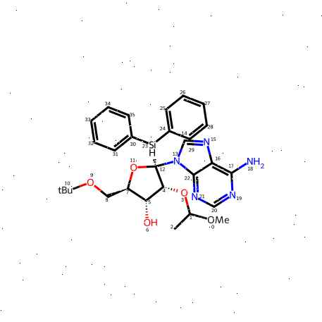 COC(C)O[C@@H]1[C@H](O)[C@@H](COC(C)(C)C)O[C@]1(n1cnc2c(N)ncnc21)[SiH](c1ccccc1)c1ccccc1